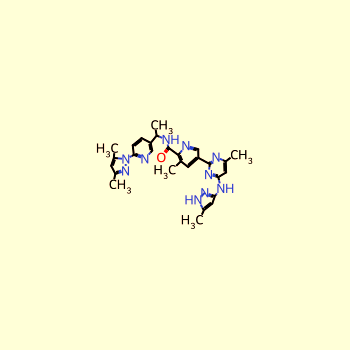 Cc1cc(Nc2cc(C)[nH]n2)nc(-c2cnc(C(=O)NC(C)c3ccc(-n4nc(C)cc4C)nc3)c(C)c2)n1